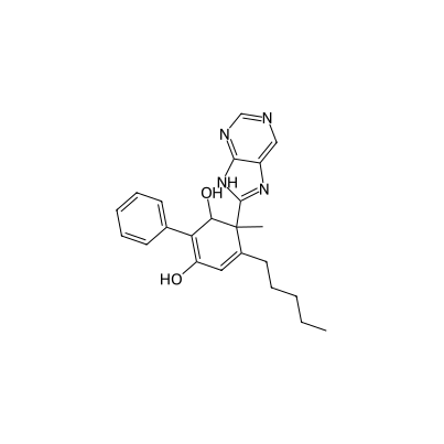 CCCCCC1=CC(O)=C(c2ccccc2)C(O)C1(C)c1nc2cncnc2[nH]1